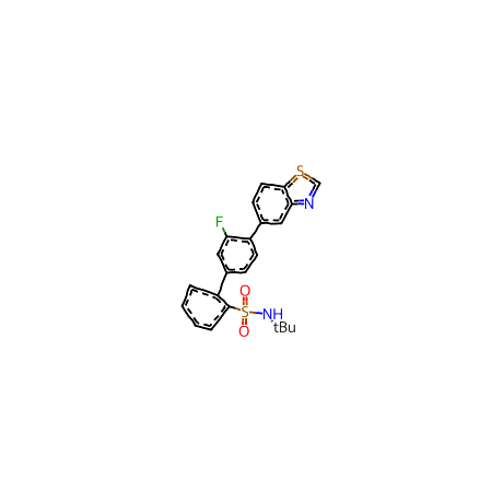 CC(C)(C)NS(=O)(=O)c1ccccc1-c1ccc(-c2ccc3scnc3c2)c(F)c1